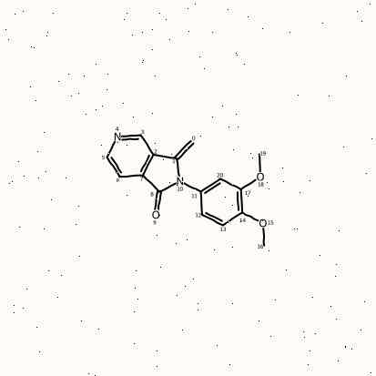 C=C1c2cnccc2C(=O)N1c1ccc(OC)c(OC)c1